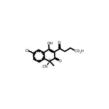 [C-]#[N+][C@]1(C)C(=O)C(C(=O)CCC(=O)O)=C(O)c2cc(Cl)ccc21